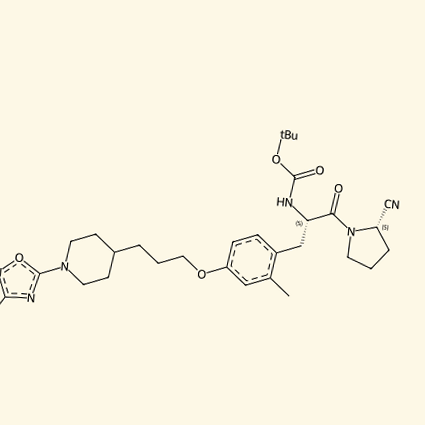 Cc1cc(OCCCC2CCN(c3nc(C(C)C)no3)CC2)ccc1C[C@H](NC(=O)OC(C)(C)C)C(=O)N1CCC[C@H]1C#N